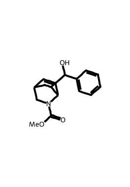 COC(=O)N1CC2C=CC1C(C(O)c1ccccc1)C2